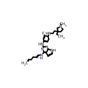 C=CCC/C=C/Nc1nc(NC2=CCC(NCCC3(CC)CCN(C)C3)C(F)=C2)nc2[nH]ccc12